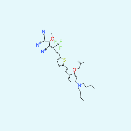 C=C(C)COC1=CC(N(CCCC)CCCC)CC=C1/C=C/c1ccc(/C=C/C(=C(\C#N)C(OC)=C(C#N)C#N)C(F)(F)F)s1